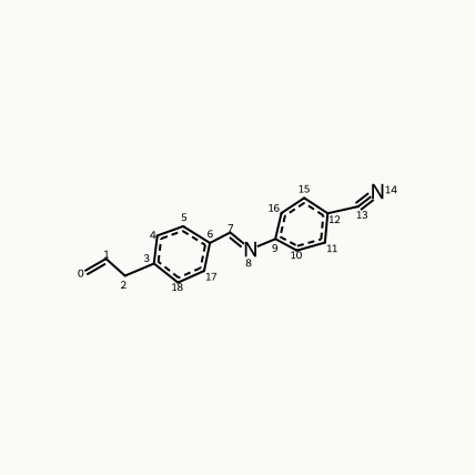 C=CCc1ccc(C=Nc2ccc(C#N)cc2)cc1